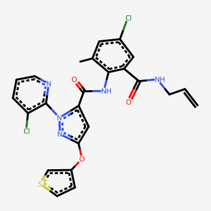 C=CCNC(=O)c1cc(Cl)cc(C)c1NC(=O)c1cc(Oc2ccsc2)nn1-c1ncccc1Cl